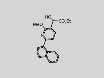 CCOC(=O)C(O)c1ccc(-c2cccc3ccccc23)nc1OC